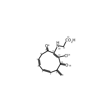 C=C1/C=C\C=C/CC(=O)/C(NCC(=O)O)=C(/Cl)C1=O